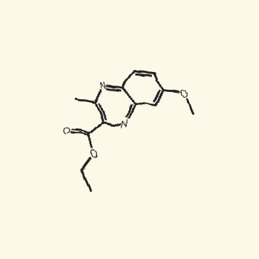 CCOC(=O)c1nc2cc(OC)ccc2nc1C